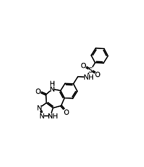 O=c1[nH]c2cc(CNS(=O)(=O)c3ccccc3)ccc2c(=O)c2[nH]nnc12